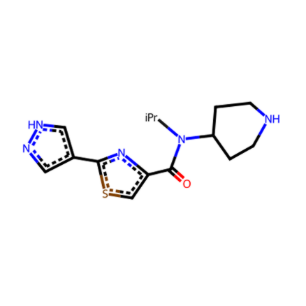 CC(C)N(C(=O)c1csc(-c2cn[nH]c2)n1)C1CCNCC1